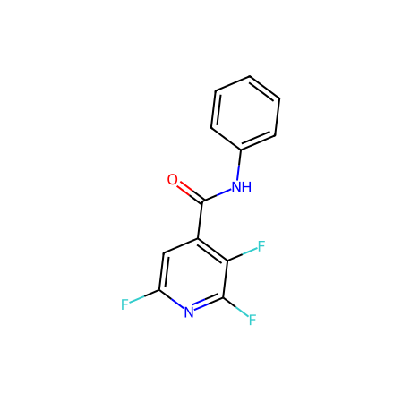 O=C(Nc1ccccc1)c1cc(F)nc(F)c1F